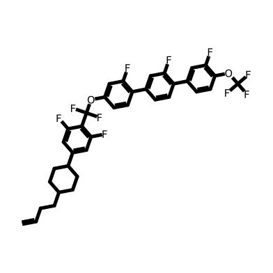 C=CCCC1CCC(c2cc(F)c(C(F)(F)Oc3ccc(-c4ccc(-c5ccc(OC(F)(F)F)c(F)c5)c(F)c4)c(F)c3)c(F)c2)CC1